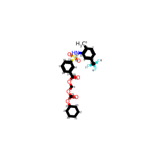 Cc1ccc(C(F)(F)F)cc1NS(=O)(=O)c1cccc(C(=O)OCOC(=O)OC2CCCCC2)c1